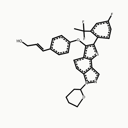 CC(F)(F)c1cc(F)ccc1-c1sc2c(ccc3c2cnn3C2CCCCO2)c1Oc1ccc(/C=C/CO)cc1